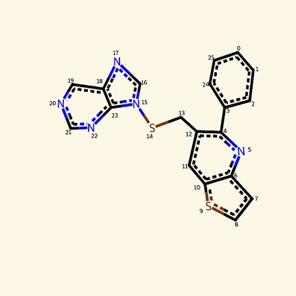 c1ccc(-c2nc3ccsc3cc2CSn2cnc3cncnc32)cc1